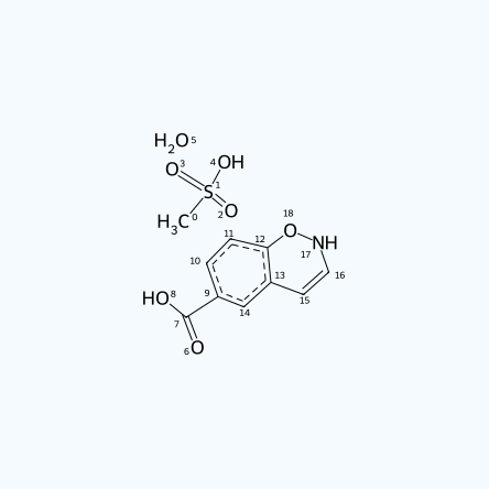 CS(=O)(=O)O.O.O=C(O)c1ccc2c(c1)C=CNO2